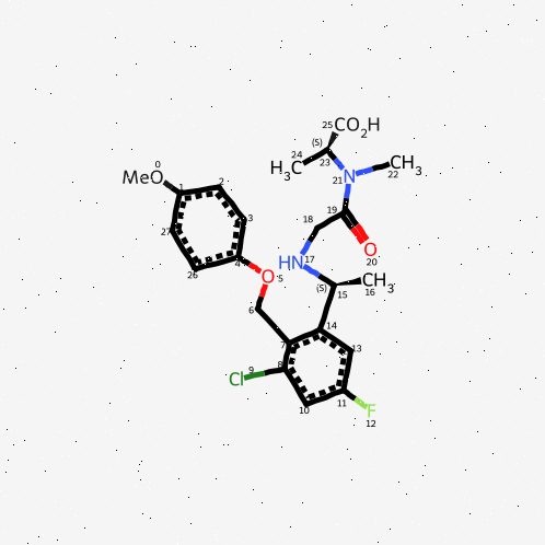 COc1ccc(OCc2c(Cl)cc(F)cc2[C@H](C)NCC(=O)N(C)[C@@H](C)C(=O)O)cc1